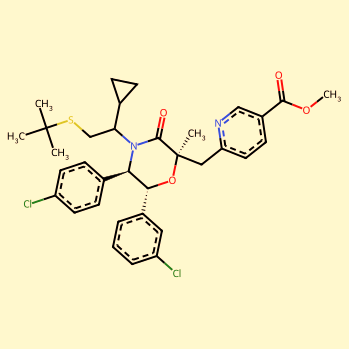 COC(=O)c1ccc(C[C@@]2(C)O[C@H](c3cccc(Cl)c3)[C@@H](c3ccc(Cl)cc3)N(C(CSC(C)(C)C)C3CC3)C2=O)nc1